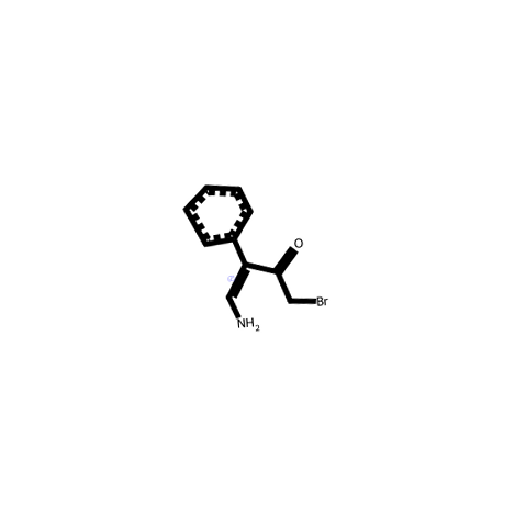 N/C=C(\C(=O)CBr)c1ccccc1